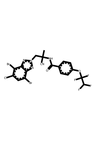 CC(C#N)(Cn1nc2c(Br)cc(Cl)c(Br)c2n1)NC(=O)c1ccc(OC(F)(F)C(F)F)cc1